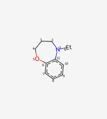 CCN1CCCOc2ccccc21